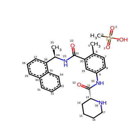 CS(=O)(=O)O.Cc1ccc(NC(=O)[C@H]2CCCCN2)cc1C(=O)N[C@H](C)c1cccc2ccccc12